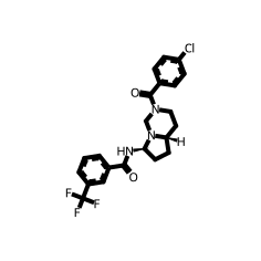 O=C(N[C@@H]1CC[C@H]2CCN(C(=O)c3ccc(Cl)cc3)CN21)c1cccc(C(F)(F)F)c1